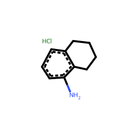 Cl.Nc1cccc2c1CCCC2